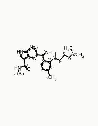 Cc1ccc(C(=N)c2cnc3[nH]cc(C(=O)NC(C)(C)C)c3n2)c(NCCCN(C)C)c1